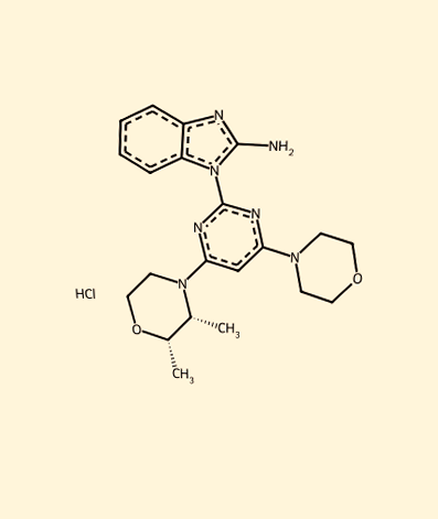 C[C@@H]1OCCN(c2cc(N3CCOCC3)nc(-n3c(N)nc4ccccc43)n2)[C@@H]1C.Cl